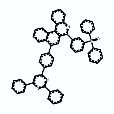 O=P(c1ccccc1)(c1ccccc1)c1cccc(-c2nc3ccccc3c3c2cc(-c2ccc(-c4cc(-c5ccccc5)nc(-c5ccccc5)n4)cc2)c2ccccc23)c1